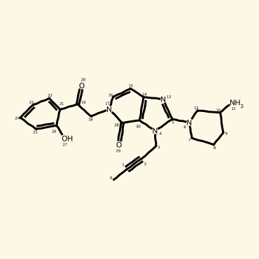 CC#CCn1c(N2CCCC(N)C2)nc2ccn(CC(=O)c3ccccc3O)c(=O)c21